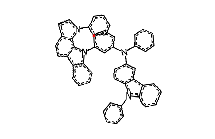 c1ccc(N(c2cccc(-n3c4ccccc4c4ccc5ccn(-c6ccccc6)c5c43)c2)c2ccc3c(c2)c2ccccc2n3-c2ccccc2)cc1